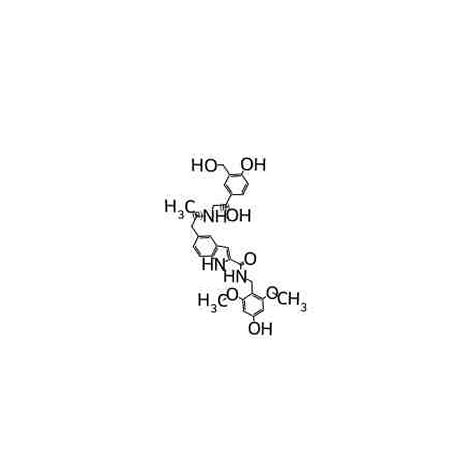 COc1cc(O)cc(OC)c1CNC(=O)c1cc2cc(C[C@@H](C)NC[C@H](O)c3ccc(O)c(CO)c3)ccc2[nH]1